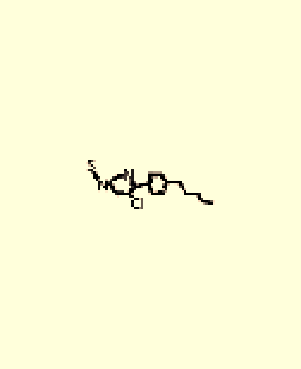 CCCCCc1ccc(-c2ncc(N=C=S)cc2Cl)cc1